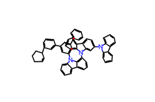 C1=CC(c2cccc(-c3cc(-c4ccccc4)cc(-n4c5ccccc5c5cccc(-n6c7ccccc7c7ccc(-n8c9ccccc9c9ccccc98)cc76)c54)c3)c2)CCC1